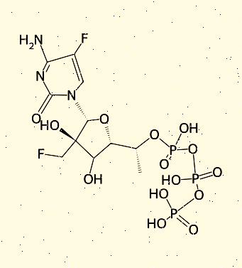 C[C@@H](OP(=O)(O)OP(=O)(O)OP(=O)(O)O)[C@H]1O[C@@H](n2cc(F)c(N)nc2=O)[C@@](O)(CF)C1O